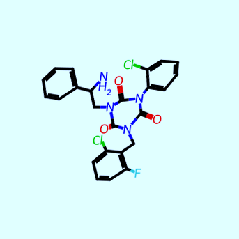 NC(Cn1c(=O)n(Cc2c(F)cccc2Cl)c(=O)n(-c2ccccc2Cl)c1=O)c1ccccc1